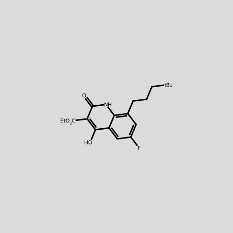 CCOC(=O)c1c(O)c2cc(F)cc(CCCC(C)(C)C)c2[nH]c1=O